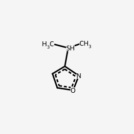 C[SH](C)c1ccon1